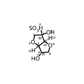 O=S(=O)(O)[C@]1(O)CO[C@@H]2[C@H](O)CO[C@@H]21